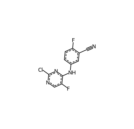 N#Cc1cc(Nc2nc(Cl)ncc2F)ccc1F